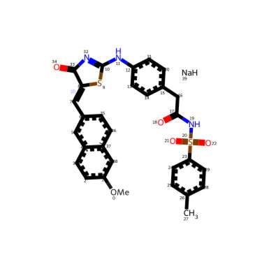 COc1ccc2cc(/C=C3\SC(Nc4ccc(CC(=O)NS(=O)(=O)c5ccc(C)cc5)cc4)=NC3=O)ccc2c1.[NaH]